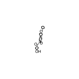 O=C(CCC(=O)N1CCN(c2ccc(OCc3ccccc3)cc2)CC1)c1ccc(O)cc1